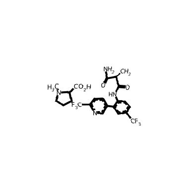 CN1CCCC1C(=O)O.C[C@H](C(N)=O)C(=O)Nc1ccc(C(F)(F)F)cc1-c1ccc(C(F)(F)F)nc1